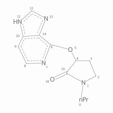 CCCN1CCC(Oc2nccc3[nH]cnc23)C1=O